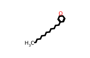 CCCCCCCCCCCCC1=CC2OC2C=C1